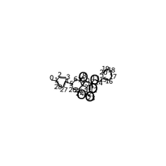 Cc1ccc(C2CC(=O)C3(CC(=O)OCc4ccccc4)CC(=O)OC3C2)cc1